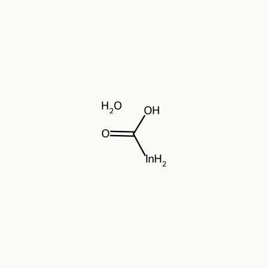 O.O=[C](O)[InH2]